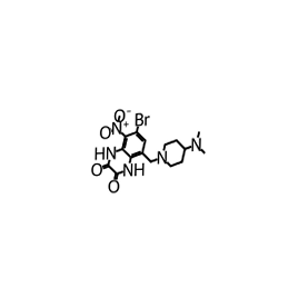 CN(C)C1CCN(Cc2cc(Br)c([N+](=O)[O-])c3[nH]c(=O)c(=O)[nH]c23)CC1